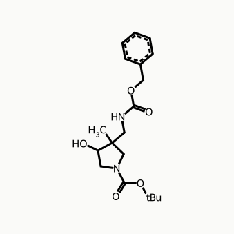 CC(C)(C)OC(=O)N1CC(O)C(C)(CNC(=O)OCc2ccccc2)C1